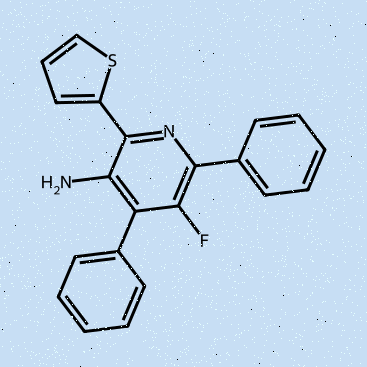 Nc1c(-c2cccs2)nc(-c2ccccc2)c(F)c1-c1ccccc1